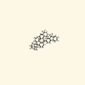 CC1(C)CCC(C)(C)c2c(N(c3ccc4c(c3)C(C)(C)c3ccccc3-4)c3cccc4c3-c3ccccc3C43C4CC5CC6CC3C64C5)cccc21